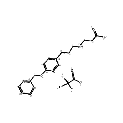 O=C(O)C(F)(F)F.O=C(O)CCNCCCc1ccc(OCc2ccccc2)cc1